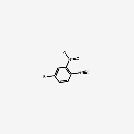 [C-]#[N+]c1ccc(Br)cc1[N+](=O)[O-]